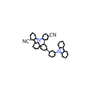 N#Cc1ccc(-n2c3ccccc3c3c(C#N)cccc32)c(-c2cccc(-c3cccc(-n4c5ccccc5c5ccccc54)c3)c2)c1